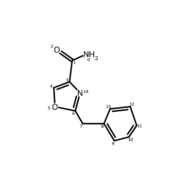 NC(=O)c1coc(Cc2ccccc2)n1